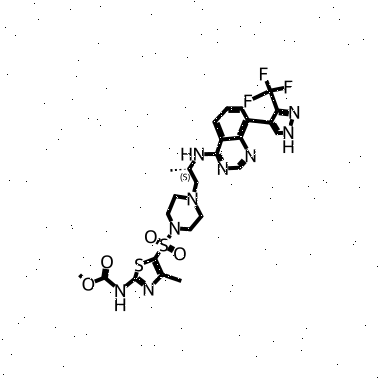 COC(=O)Nc1nc(C)c(S(=O)(=O)N2CCN(C[C@H](C)Nc3ncnc4c(-c5c[nH]nc5C(F)(F)F)cccc34)CC2)s1